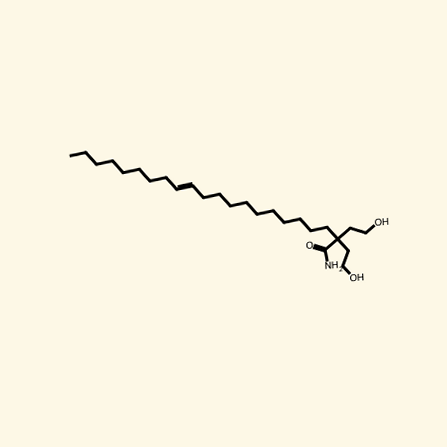 CCCCCCCCC=CCCCCCCCCCCC(CCO)(CCO)C(N)=O